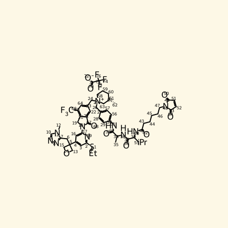 CCSc1cc(C2(Cc3nncn3C)COC2)cc(N2Cc3c(cc(C[N+]4(Cc5ccc(NC(=O)C(C)NC(=O)C(NC(=O)CCCCCN6C(=O)C=CC6=O)C(C)C)cc5)CCC[C@H](C)C4)cc3C(F)(F)F)C2=O)n1.O=C([O-])C(F)(F)F